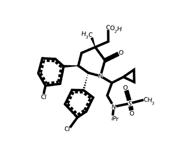 CC(C)N(CC(C1CC1)N1C(=O)[C@@](C)(CC(=O)O)C[C@H](c2cccc(Cl)c2)[C@H]1c1ccc(Cl)cc1)S(C)(=O)=O